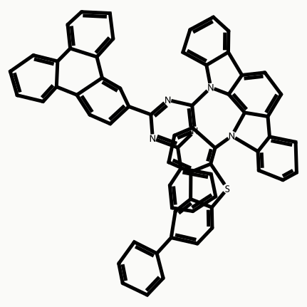 c1ccc(-c2ccc3sc4c(-n5c6ccccc6c6ccc7c8ccccc8n(-c8nc(-c9ccccc9)nc(-c9ccc%10c%11ccccc%11c%11ccccc%11c%10c9)n8)c7c65)cccc4c3c2)cc1